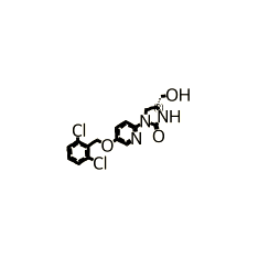 O=C1N[C@@H](CO)CN1c1ccc(OCc2c(Cl)cccc2Cl)cn1